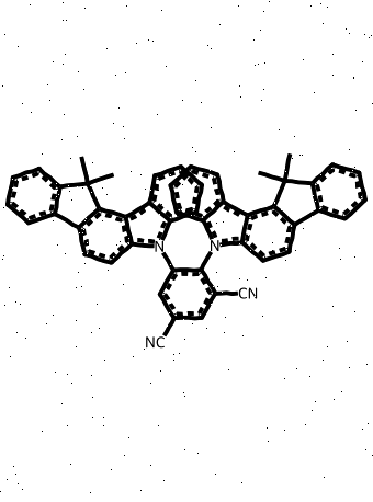 CC1(C)c2ccccc2-c2ccc3c(c21)c1ccccc1n3-c1cc(C#N)cc(C#N)c1-n1c2ccccc2c2c3c(ccc21)-c1ccccc1C3(C)C